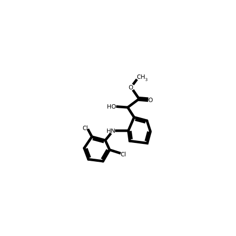 COC(=O)C(O)c1ccccc1Nc1c(Cl)cccc1Cl